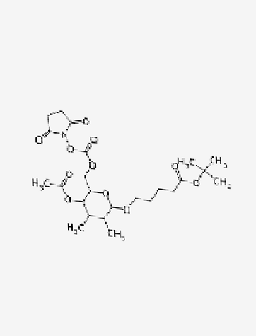 CC(=O)OC1C(COC(=O)ON2C(=O)CCC2=O)OC(OCCCCC(=O)OC(C)(C)C)C(C)C1C